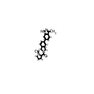 Cc1n[nH]c2cc(-c3ccc4c(c3)CN(C(=O)C3CCCN3C#N)C4)ccc12